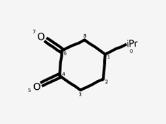 CC(C)C1CCC(=O)C(=O)C1